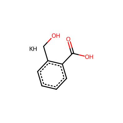 O=C(O)c1ccccc1CO.[KH]